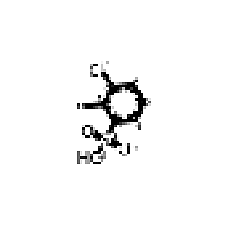 Cc1c(Cl)c[c]cc1S(=O)(=O)O